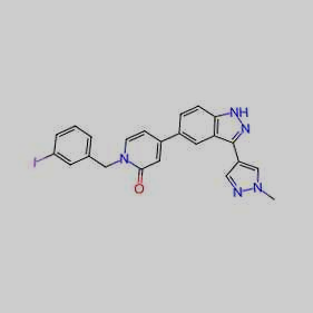 Cn1cc(-c2n[nH]c3ccc(-c4ccn(Cc5cccc(I)c5)c(=O)c4)cc23)cn1